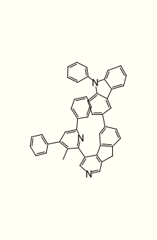 Cc1c(-c2ccccc2)cc(-c2ccccc2)nc1-c1cncc2c1-c1cc(-c3ccc4c(c3)c3ccccc3n4-c3ccccc3)ccc1C2